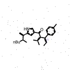 C=C(c1cc(C(=O)C(=C(C)C)/C(=C\C)c2ccc(C)cc2)c[nH]1)C(C)CCCC